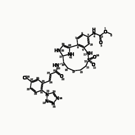 COC(=O)Nc1ccc2c(c1)NS(=O)(=O)CCCC[C@H](NC(=O)/C=C/c1cc(Cl)ccc1-n1cnnn1)C1NC=C2N1